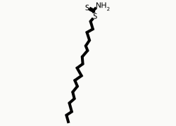 CCCCCCCCCCCCCCCCCCSC(N)=S